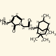 CC1CC2(C)CC(C)(C)CC(NC(=O)Cn3cccc(NC=O)c3=O)(C1)C2